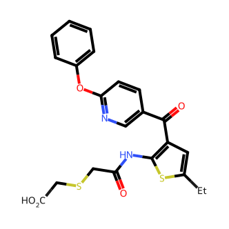 CCc1cc(C(=O)c2ccc(Oc3ccccc3)nc2)c(NC(=O)CSCC(=O)O)s1